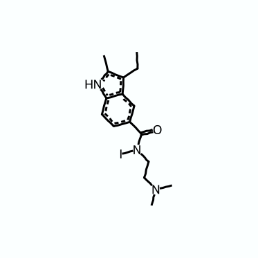 CCc1c(C)[nH]c2ccc(C(=O)N(I)CCN(C)C)cc12